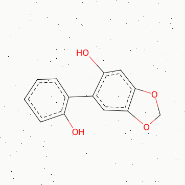 Oc1ccccc1-c1cc2c(cc1O)OCO2